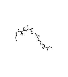 CCCCC(C)C(=O)NCC(F)C(C)OCCOCCOCC(=O)C(C)CC